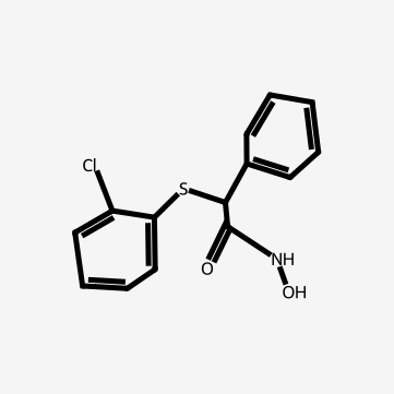 O=C(NO)C(Sc1ccccc1Cl)c1ccccc1